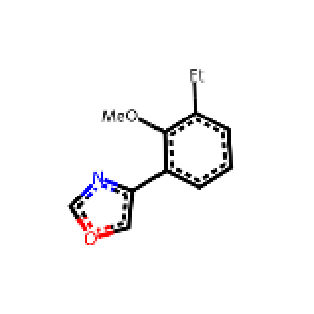 CCc1cccc(-c2cocn2)c1OC